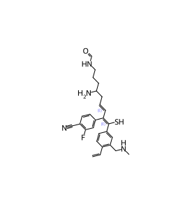 C=Cc1ccc(/C(S)=C(/C=C/CC(N)CCCNC=O)c2ccc(C#N)c(F)c2)cc1CNC